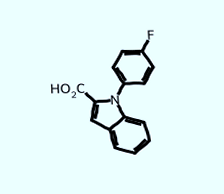 O=C(O)c1cc2ccccc2n1-c1ccc(F)cc1